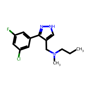 CCCN(C)Cc1c[nH]nc1-c1cc(F)cc(Cl)c1